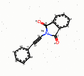 O=C1c2ccccc2C(=O)N1C#Cc1ccccc1